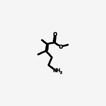 COC(=O)C(C)=C(C)CCN